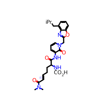 CC(C)Cc1cccc2oc(Cn3cccc(NC(=O)C(CC/C=C/C(=O)N(C)C)NC(=O)O)c3=O)nc12